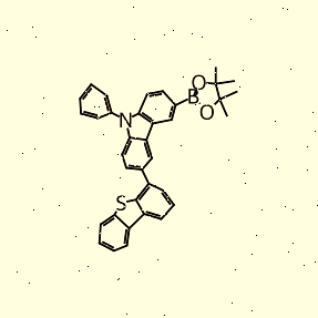 CC1(C)OB(c2ccc3c(c2)c2cc(-c4cccc5c4sc4ccccc45)ccc2n3-c2ccccc2)OC1(C)C